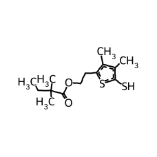 CCC(C)(C)C(=O)OCCc1sc(S)c(C)c1C